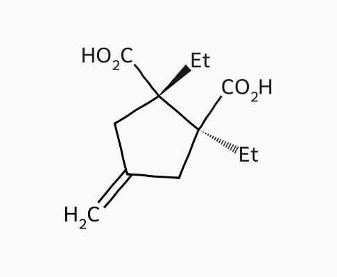 C=C1C[C@](CC)(C(=O)O)[C@@](CC)(C(=O)O)C1